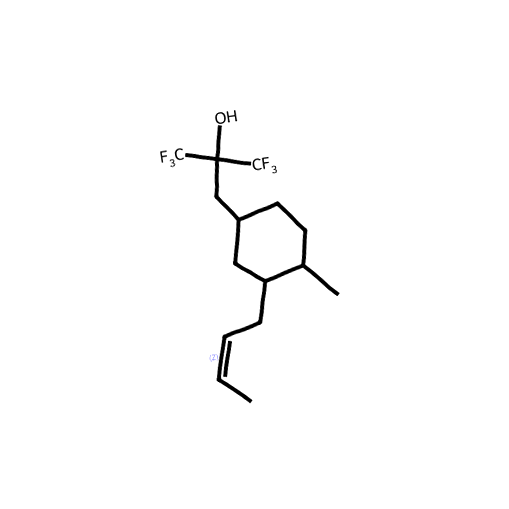 C/C=C\CC1CC(CC(O)(C(F)(F)F)C(F)(F)F)CCC1C